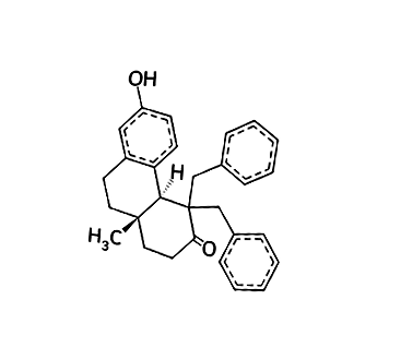 C[C@]12CCC(=O)C(Cc3ccccc3)(Cc3ccccc3)[C@@H]1c1ccc(O)cc1CC2